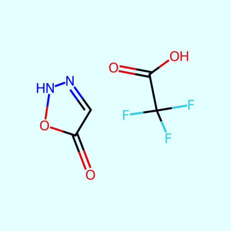 O=C(O)C(F)(F)F.O=c1cn[nH]o1